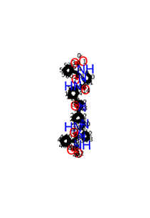 COC(=O)N[C@@H](C(=O)N1CCC[C@H]1C(=O)NC1=CC=CC(c2cnc(-c3ccc4[nH]c([C@@H]5CCCN5C(=O)[C@H](NC(=O)OC)c5ccccc5)nc4c3)o2)C1)c1ccccc1